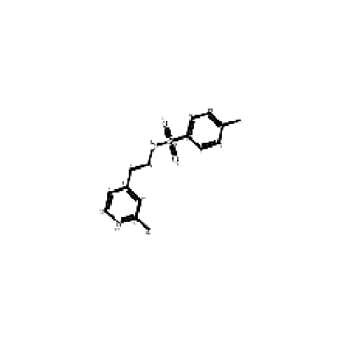 Cc1ccc(S(=O)(=O)OCCc2ccnc(C)c2)cc1